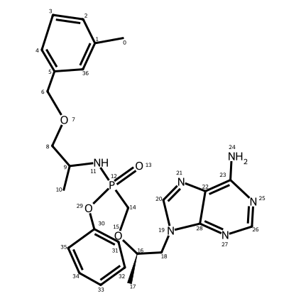 Cc1cccc(COCC(C)NP(=O)(CO[C@H](C)Cn2cnc3c(N)ncnc32)Oc2ccccc2)c1